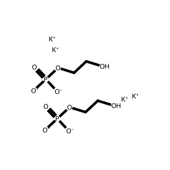 O=P([O-])([O-])OCCO.O=P([O-])([O-])OCCO.[K+].[K+].[K+].[K+]